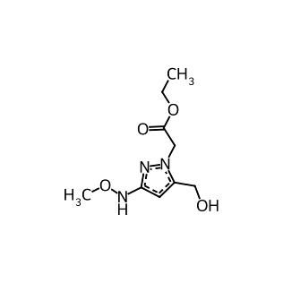 CCOC(=O)Cn1nc(NOC)cc1CO